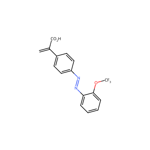 C=C(C(=O)O)c1ccc(N=Nc2ccccc2OC(F)(F)F)cc1